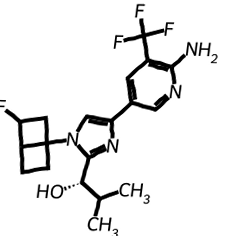 CC(C)[C@H](O)c1nc(-c2cnc(N)c(C(F)(F)F)c2)cn1C12CCC1C(F)C2